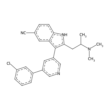 CC(Cc1[nH]c2ccc(C#N)cc2c1-c1cncc(-c2cccc(Cl)c2)c1)N(C)C